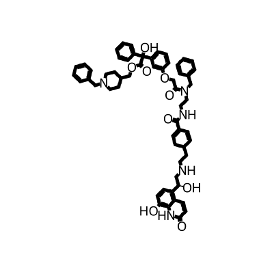 O=C(NCCN(Cc1ccccc1)C(=O)COc1cccc(C(O)(C(=O)OCC2CCN(Cc3ccccc3)CC2)c2ccccc2)c1)C1=CCC(CCNC[C@H](O)c2ccc(O)c3[nH]c(=O)ccc23)C=C1